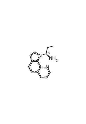 C[CH][C@@H](N)n1ccc2ccc3cccnc3c21